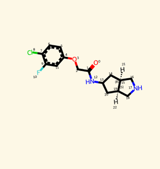 O=C(COc1ccc(Cl)c(F)c1)NC1C[C@H]2CNC[C@H]2C1